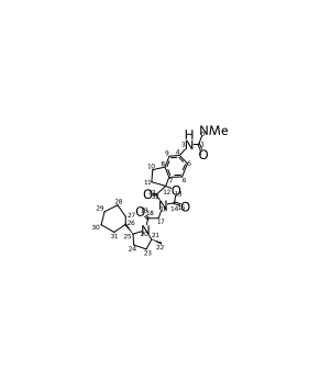 CNC(=O)Nc1ccc2c(c1)CCC21OC(=O)N(CC(=O)N2[C@@H](C)CC[C@H]2C2CCCCC2)C1=O